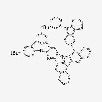 CC(C)(C)c1ccc2c(c1)c1cc(C(C)(C)C)cc3c4cc5c(nc4n2c13)c1cc2ccccc2c2c3cc4ccccc4c(-c4ccc6c(c4)c4ccccc4n6-c4ccccc4)c3n5c12